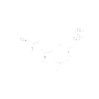 O=P(=O)[O-].O=P(=O)[O-].O=P(=O)[O-].O=P(=O)[O-].[Na+].[Na+].[Na+].[Na+]